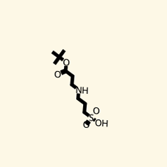 CC(C)(C)OC(=O)CCNCCCS(=O)(=O)O